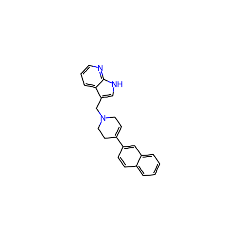 C1=C(c2ccc3ccccc3c2)CCN(Cc2c[nH]c3ncccc23)C1